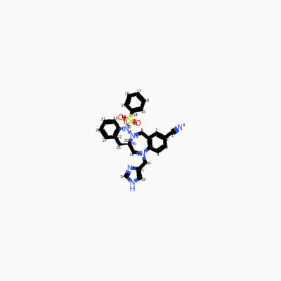 N#Cc1ccc2c(c1)CN(NS(=O)(=O)c1ccccc1)[C@H](Cc1ccccc1)CN2Cc1c[nH]cn1